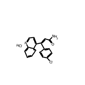 Cl.NC(=O)C=C(c1ccc(Cl)cc1)c1ccnc2ccccc12